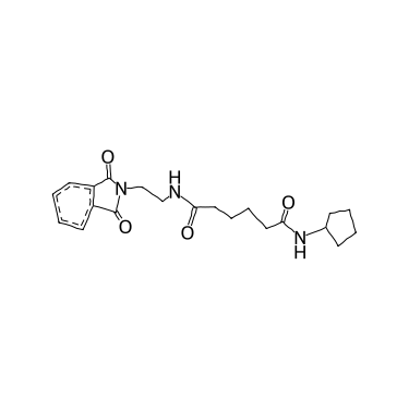 O=C(CCCCC(=O)NC1CCCC1)NCCN1C(=O)c2ccccc2C1=O